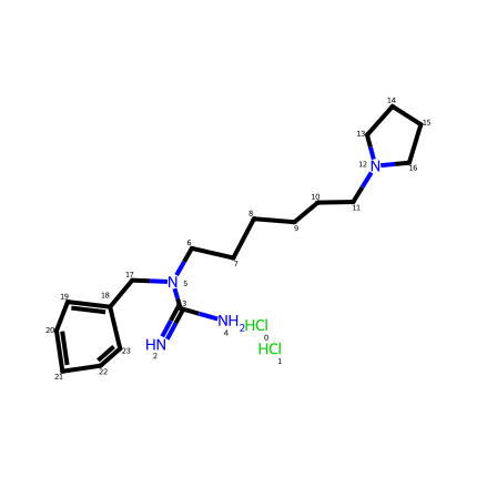 Cl.Cl.N=C(N)N(CCCCCCN1CCCC1)Cc1ccccc1